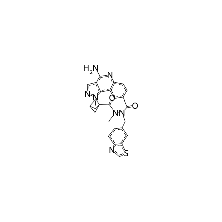 CN(C(=O)C12CC(C1)C2)N(Cc1ccc2ncsc2c1)C(=O)c1ccc2nc(N)c3cnn(C)c3c2c1